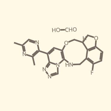 Cc1cnc(-c2cc3c(n4cnnc24)NCc2c(F)ccc4c2[C@@H](CO4)CO3)c(C)n1.O=CO